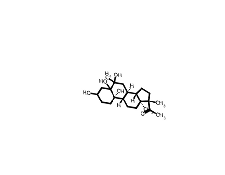 CC(=O)[C@@]1(C)CC[C@H]2[C@@H]3CC(C)(O)C4(O)CC(O)CC[C@]4(C)[C@H]3CC[C@@]21C